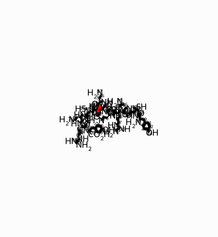 C[C@@H](O)[C@H](NC(=O)[C@H](CCN)NC(=O)[C@H](CCCNC(=N)N)NC(=O)[C@H](CC(N)=O)NC(=O)[C@@H](NC(=O)[C@@H](N)Cc1ccc(O)cc1)C(C)(C)S)C(=O)N[C@H](CCN)C(=O)N[C@@H](CO)C(=O)N[C@@H](CS)C(=O)N[C@@H](CCN)C(=O)N[C@@H](CCCNC(=N)N)C(=O)N[C@@H](Cc1ccc(O)cc1)C(=O)O